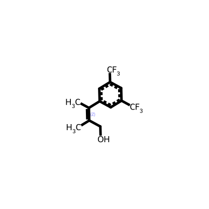 C/C(CO)=C(\C)c1cc(C(F)(F)F)cc(C(F)(F)F)c1